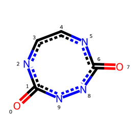 O=c1nccnc(=O)nn1